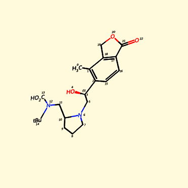 Cc1c([C@H](O)CN2CCCC2CN(C(=O)O)C(C)(C)C)ccc2c1COC2=O